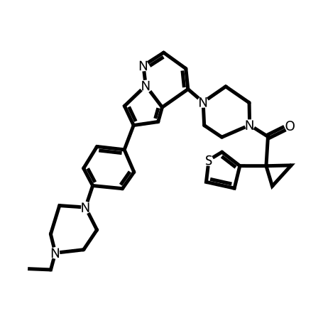 CCN1CCN(c2ccc(-c3cc4c(N5CCN(C(=O)C6(c7ccsc7)CC6)CC5)ccnn4c3)cc2)CC1